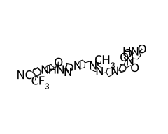 C[C@@H]1CN(CC2CCN(c3ccc4c(c3)C(=O)N(C3CCC(=O)NC3=O)C4=O)CC2)CCN1CC1CCN(c2ccc(NC(=O)C3CCN(c4ccc(C#N)c(C(F)(F)F)c4)CC3)nc2)CC1